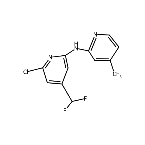 FC(F)c1cc(Cl)nc(Nc2cc(C(F)(F)F)ccn2)c1